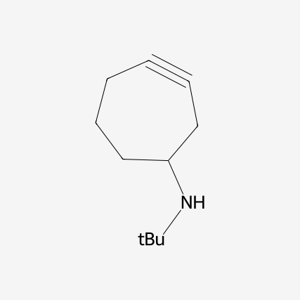 CC(C)(C)NC1CC#CCCC1